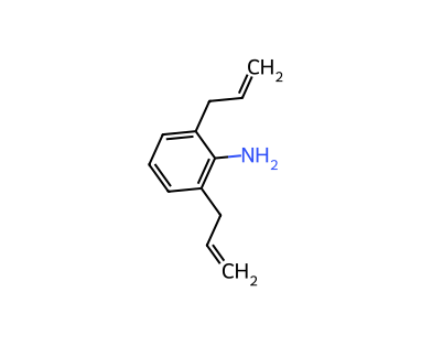 C=CCc1cccc(CC=C)c1N